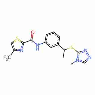 CC(Sc1nncn1C)c1cccc(NC(=O)c2nc(C(F)(F)F)cs2)c1